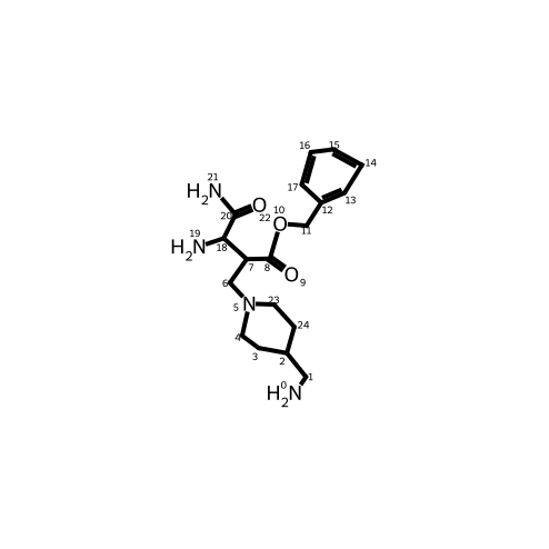 NCC1CCN(CC(C(=O)OCc2ccccc2)C(N)C(N)=O)CC1